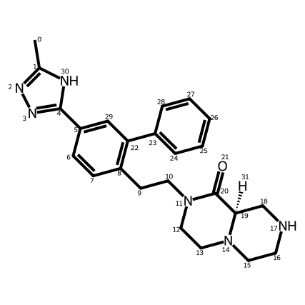 Cc1nnc(-c2ccc(CCN3CCN4CCNC[C@@H]4C3=O)c(-c3ccccc3)c2)[nH]1